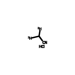 Cl.[2H]C([2H])C#N